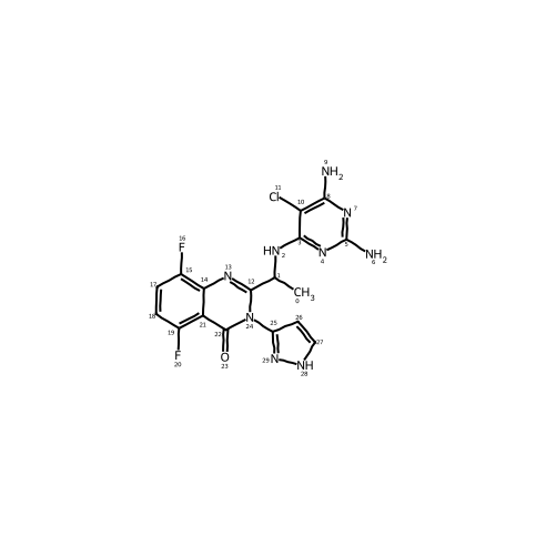 CC(Nc1nc(N)nc(N)c1Cl)c1nc2c(F)ccc(F)c2c(=O)n1-c1cc[nH]n1